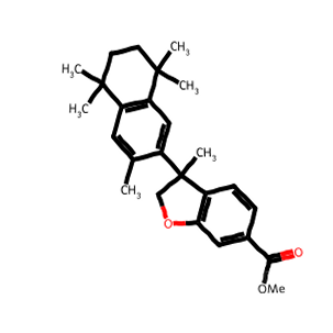 COC(=O)c1ccc2c(c1)OCC2(C)c1cc2c(cc1C)C(C)(C)CCC2(C)C